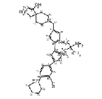 CC(C)(C)N.CCC1(C(=O)O)CCN(Cc2ccc(-c3noc(-c4ccc(C5CCCCC5)c(Cl)c4)n3)cc2)CC1